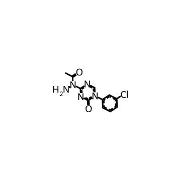 CC(=O)N(N)c1ncn(-c2cccc(Cl)c2)c(=O)n1